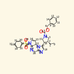 CC[C@@H]1CN(C(=O)OCc2ccccc2)C[C@@H]1c1cnc2n1C1C=CN(S(=O)(=O)c3ccc(C)cc3)C1N=C2